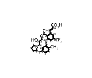 Cc1ccc(C[C@@H]2CCCN2C[C@@H](O)CO[C@H](C)c2ccc(C(F)(F)F)cc2C=CC(=O)O)cc1F